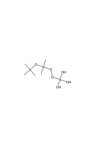 C[Si](C)(C)O[Si](C)(C)OO[Si](O)(O)O